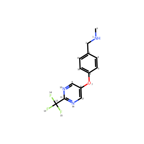 CNCc1ccc(Oc2cnc(C(F)(F)F)nc2)cc1